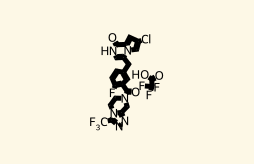 O=C(O)C(F)(F)F.O=C(c1cc(Cc2c[nH]c(=O)c3cc(Cl)cn23)ccc1F)N1CCn2c(nnc2C(F)(F)F)C1